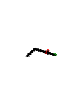 CCCCCCCC/C=C\CCCCCCCCOC(=O)CCCCCBr